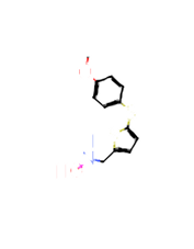 COc1ccc(Sc2ccc(CNO)s2)cc1